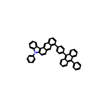 c1ccc(-c2c3ccccc3c(-c3ccc(-c4cccc5cc6c(ccc7c6c6ccccc6n7-c6ccccc6)cc45)cc3)c3ccccc23)cc1